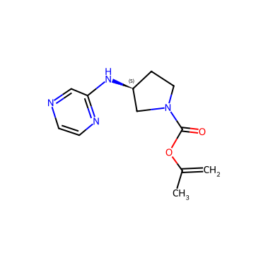 C=C(C)OC(=O)N1CC[C@H](Nc2cnccn2)C1